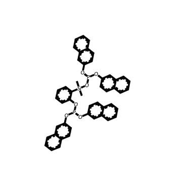 C[Si](C)(OP(Oc1ccc2ccccc2c1)Oc1ccc2ccccc2c1)c1ccccc1OP(Oc1ccc2ccccc2c1)Oc1ccc2ccccc2c1